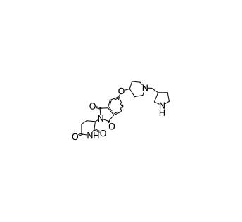 O=C1CCC(N2C(=O)c3ccc(OC4CCN(CC5CCNC5)CC4)cc3C2=O)C(=O)N1